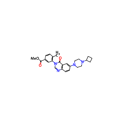 COC(=O)c1ccc(C)c(-n2cnc3ccc(N4CCN(C5CCC5)CC4)cc3c2=O)c1